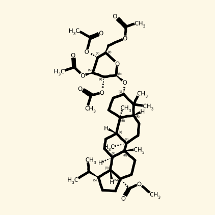 COC(=O)[C@]12CC[C@@H](C(C)C)[C@@H]1[C@H]1CC[C@@H]3[C@@]4(C)CC[C@H](O[C@@H]5O[C@H](COC(C)=O)[C@@H](OC(C)=O)[C@H](OC(C)=O)[C@H]5OC(C)=O)C(C)(C)[C@@H]4CC[C@@]3(C)[C@]1(C)CC2